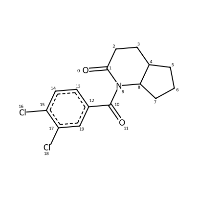 O=C1CCC2CCCC2N1C(=O)c1ccc(Cl)c(Cl)c1